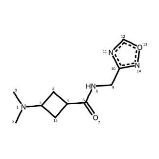 CN(C)C1CC(C(=O)NCc2ncon2)C1